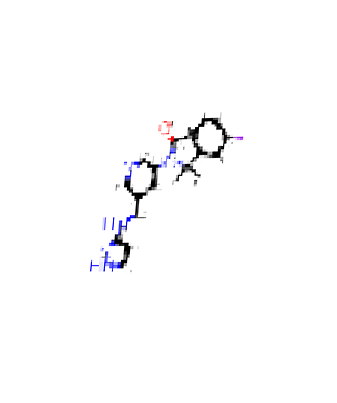 CC1(C)c2cc(I)ccc2C(=O)N1c1cncc(CNc2cc[nH]n2)c1